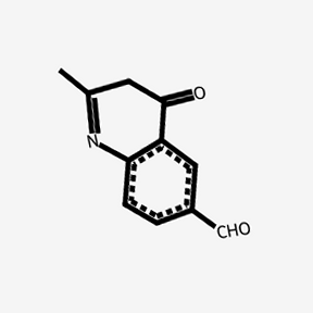 CC1=Nc2ccc(C=O)cc2C(=O)C1